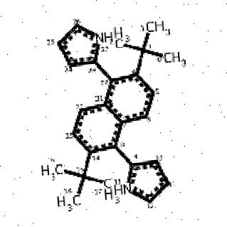 CC(C)(C)c1ccc2c(-c3ccc[nH]3)c(C(C)(C)C)ccc2c1-c1ccc[nH]1